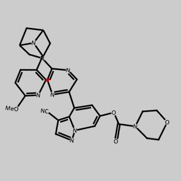 COc1ccc(CN2C3CC2CN(c2cnc(-c4cc(OC(=O)N5CCOCC5)cn5ncc(C#N)c45)cn2)C3)cn1